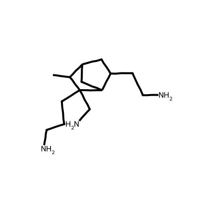 CC1C2CC(CCN)C(C2)C1(CN)CCCN